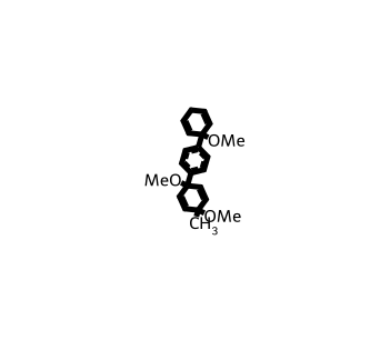 COC1(C)C=CC(OC)(c2ccc(C3(OC)C=CCC=C3)cc2)C=C1